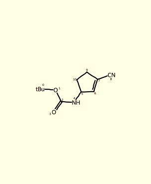 CC(C)(C)OC(=O)NC1C=C(C#N)CC1